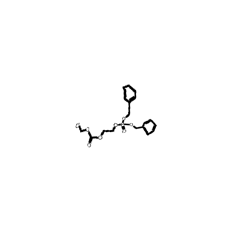 O=C(OCCl)OCCOP(=O)(OCc1ccccc1)OCc1ccccc1